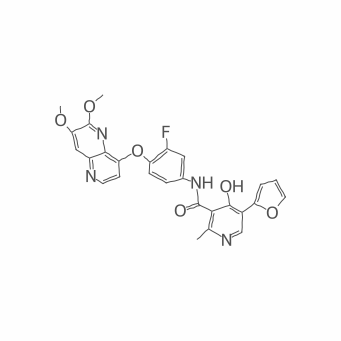 COc1cc2nccc(Oc3ccc(NC(=O)c4c(C)ncc(-c5ccco5)c4O)cc3F)c2nc1OC